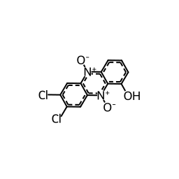 [O-][n+]1c2cc(Cl)c(Cl)cc2[n+]([O-])c2c(O)cccc21